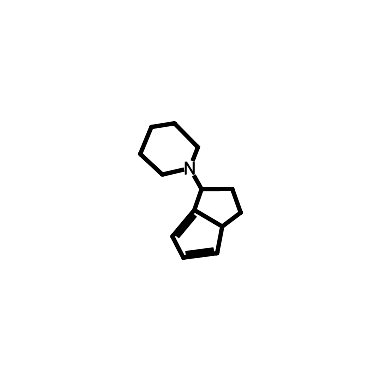 C1=CC2CCC(N3CCCCC3)C2=C1